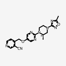 Cc1nc(N2CCN(c3ncc(OCc4ccncc4C#N)cn3)[C@H](C)C2)no1